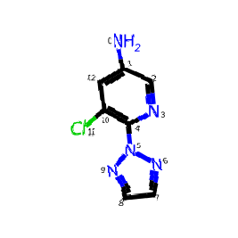 Nc1cnc(-n2nccn2)c(Cl)c1